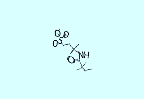 CCC(C)(C)C(=O)NC(C)(C)CCS(=O)(=O)OC